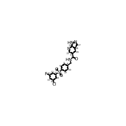 O=C(NCc1ccc(S(=O)(=O)c2cc(F)cc(Cl)c2)cc1)c1cnc2[nH]ncc2c1